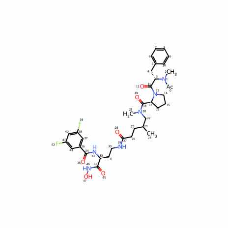 CC(=O)N(C)[C@@H](Cc1ccccc1)C(=O)N1CCC[C@H]1C(=O)N(C)CC(C)CCC(=O)NCC[C@H](NC(=O)c1cc(F)cc(F)c1)C(=O)NO